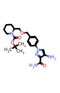 CC(C)(C)OC(=O)N1CCCCC1COCc1ccc(-n2cc(N)c(C(N)=O)n2)cc1